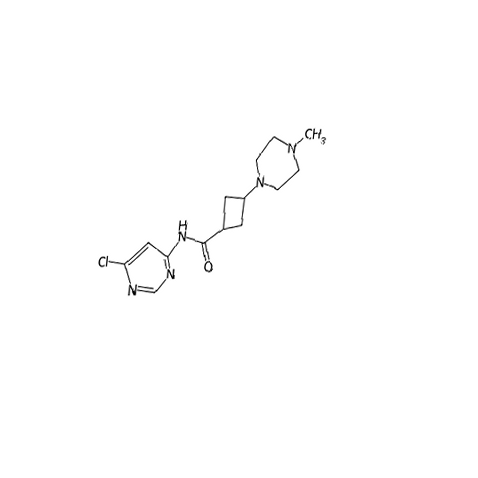 CN1CCN(C2CC(C(=O)Nc3cc(Cl)ncn3)C2)CC1